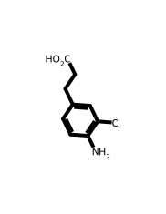 Nc1ccc(CCC(=O)O)cc1Cl